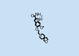 COc1cc2[nH]c(C(N)=O)cc2cc1OCCN1CCC2(CCOC2)CC1